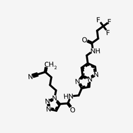 C=C(C#N)CCCn1nncc1C(=O)NCc1cn2ncc(CNC(=O)CCC(F)(F)F)cc2n1